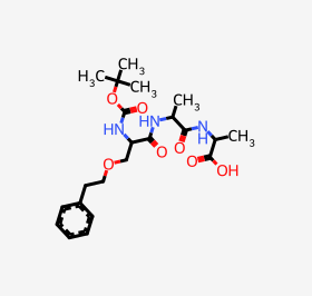 CC(NC(=O)C(C)NC(=O)C(COCCc1ccccc1)NC(=O)OC(C)(C)C)C(=O)O